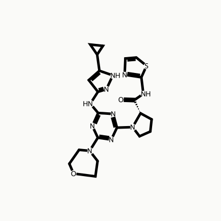 O=C(Nc1nccs1)[C@@H]1CCCN1c1nc(Nc2cc(C3CC3)[nH]n2)nc(N2CCOCC2)n1